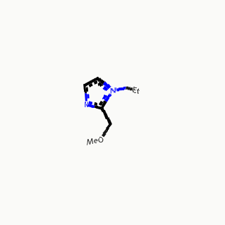 CCn1ccnc1COC